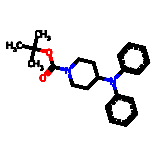 CC(C)(C)OC(=O)N1CCC(N(c2ccccc2)c2ccccc2)CC1